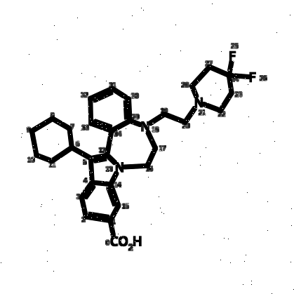 O=C(O)c1ccc2c(C3CCCCC3)c3n(c2c1)CCN(CCN1CCC(F)(F)CC1)c1ccccc1-3